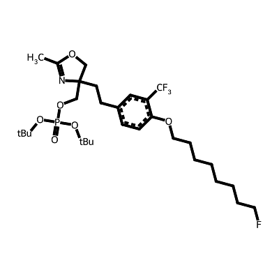 CC1=NC(CCc2ccc(OCCCCCCCCF)c(C(F)(F)F)c2)(COP(=O)(OC(C)(C)C)OC(C)(C)C)CO1